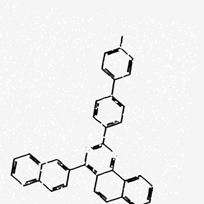 Clc1ccc(-c2ccc(-c3nc(-c4ccc5ccccc5c4)c4ccc5ccccc5c4n3)cc2)cc1